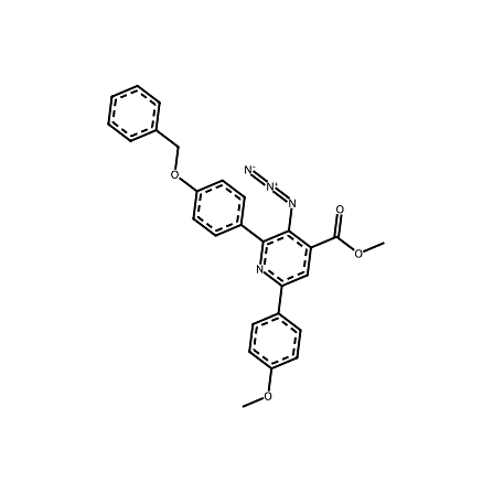 COC(=O)c1cc(-c2ccc(OC)cc2)nc(-c2ccc(OCc3ccccc3)cc2)c1N=[N+]=[N-]